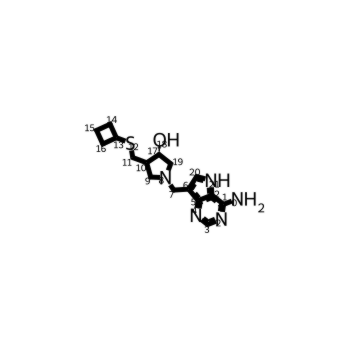 Nc1ncnc2c(CN3CC(CSC4CCC4)[C@H](O)C3)c[nH]c12